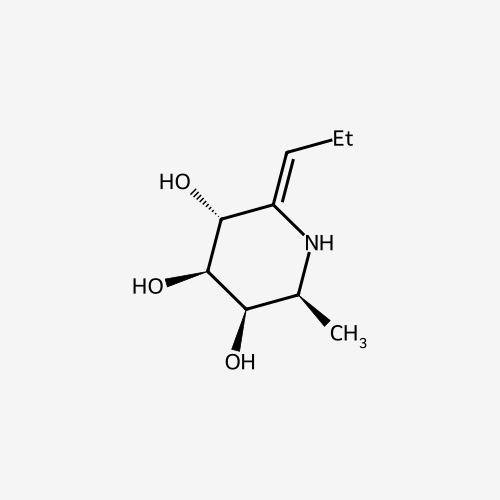 CC/C=C1\N[C@@H](C)[C@@H](O)[C@@H](O)[C@@H]1O